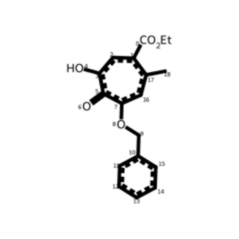 CCOC(=O)c1cc(O)c(=O)c(OCc2ccccc2)cc1C